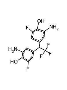 Nc1cc(C(c2cc(N)c(O)c(F)c2)C(F)(F)F)cc(F)c1O